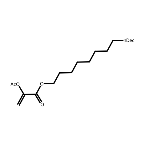 C=C(OC(C)=O)C(=O)OCCCCCCCCCCCCCCCCCC